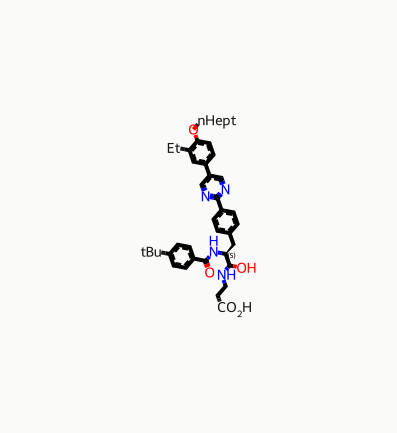 CCCCCCCOc1ccc(-c2cnc(-c3ccc(C[C@H](NC(=O)c4ccc(C(C)(C)C)cc4)C(O)NCCC(=O)O)cc3)nc2)cc1CC